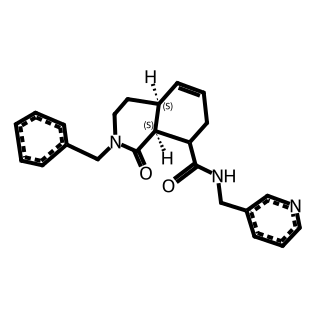 O=C(NCc1cccnc1)C1CC=C[C@@H]2CCN(Cc3ccccc3)C(=O)[C@H]12